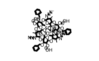 CO[C@@H]1OC(COS(=O)(=O)O)[C@@H](O[C@@H]2OC(C)[C@@H](O[C@H]3OC(COS(=O)(=O)O)[C@@H](O[C@@H]4OC(C)[C@H](O[C@@H]5OC(COS(=O)(=O)O)[C@@H](O[C@@H]6OC(C)[C@@H](C)[C@@H](OCc7ccccc7)C6OOO)[C@H](C)C5N=[N+]=[N-])[C@@H](OCc5ccccc5)C4OOO)[C@H](C)C3N=[N+]=[N-])[C@@H](OCc3ccccc3)C2OOO)[C@H](C)C1N=[N+]=[N-]